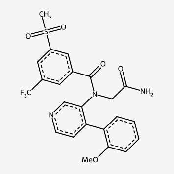 COc1ccccc1-c1ccncc1N(CC(N)=O)C(=O)c1cc(C(F)(F)F)cc(S(C)(=O)=O)c1